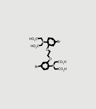 O=C(O)CN(CC(=O)O)c1ccc(Br)cc1OCCOc1cc(Br)ccc1N(CC(=O)O)CC(=O)O